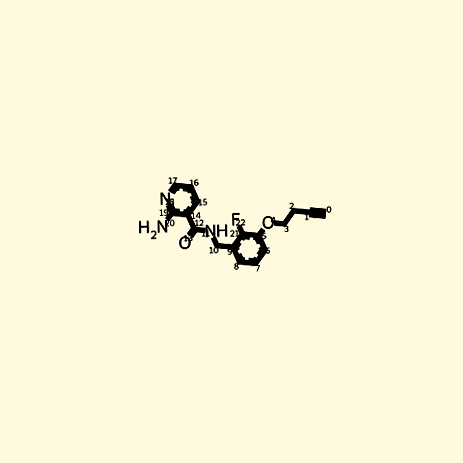 C#CCCOc1cccc(CNC(=O)c2cccnc2N)c1F